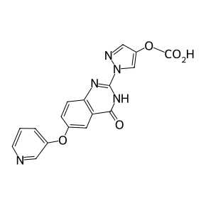 O=C(O)Oc1cnn(-c2nc3ccc(Oc4cccnc4)cc3c(=O)[nH]2)c1